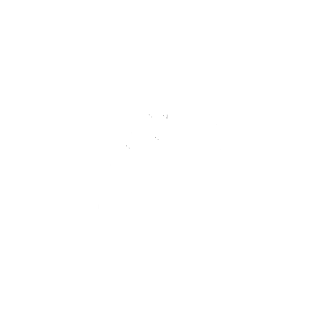 O=C(NCc1ccc(F)c(F)c1)c1n[nH]c(-c2cc(Cl)c(O)c(Cl)c2)n1